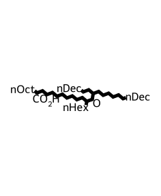 CCCCCCCCCCCCCCCCC(CCCCCCCCCCCC)C(=O)C(CCCCCC)CCCCCCCCCC(CCCCCCCC)C(=O)O